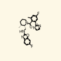 Cc1cc(F)cc(-n2nccn2)c1C(=O)N1CCC[C@@H](C)[C@H]1CNc1nc2ccc(F)cc2o1